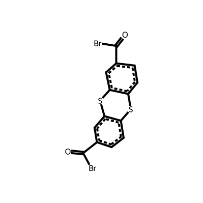 O=C(Br)c1ccc2c(c1)Sc1cc(C(=O)Br)ccc1S2